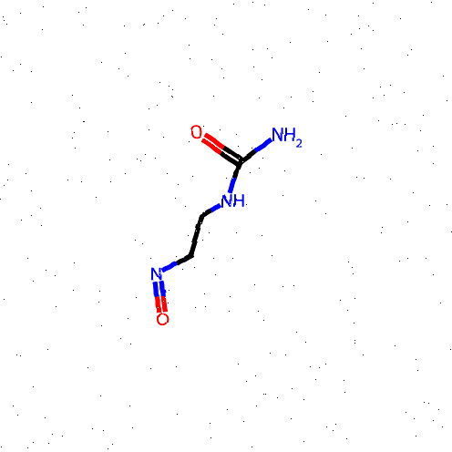 NC(=O)NCCN=O